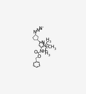 CC(C)(C)n1nc([C@H]2CC[C@@H](N=[N+]=[N-])C2)cc1NC(=O)OCc1ccccc1